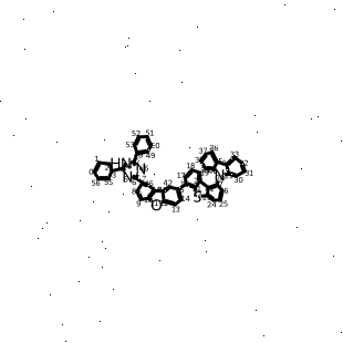 C1=CCC(C2N=C(c3ccc4oc5ccc(-c6cccc7c6sc6cccc(-n8c9ccccc9c9ccccc98)c67)cc5c4c3)N=C(c3ccccc3)N2)C=C1